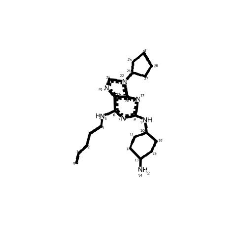 CCCCCNc1nc(NC2CCC(N)CC2)nc2c1ncn2C1CCCC1